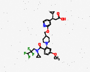 COc1ccc(C(=O)N(CC(F)(F)C(F)F)C2CC2)c(N2CCC(COc3cc(C(CC(=O)O)C4CC4)ccn3)CC2)c1